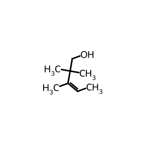 CC=C(C)C(C)(C)CO